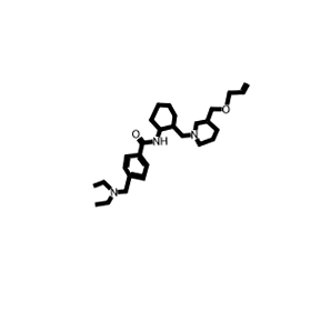 C=CCOCC1CCCN(CC2CCCCC2NC(=O)c2ccc(CN(CC)CC)cc2)C1